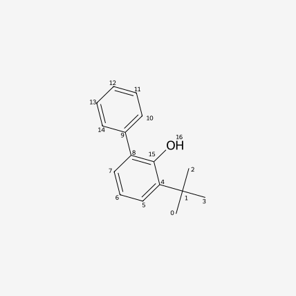 CC(C)(C)c1cccc(-c2ccccc2)c1O